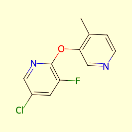 Cc1ccncc1Oc1ncc(Cl)cc1F